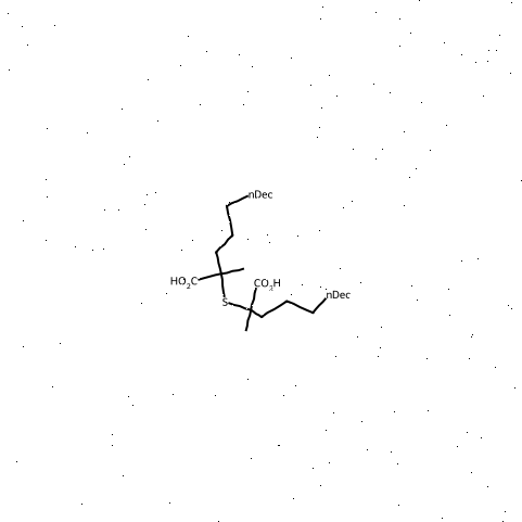 CCCCCCCCCCCCCC(C)(SC(C)(CCCCCCCCCCCCC)C(=O)O)C(=O)O